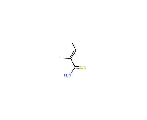 C/C=C(\C)C(N)=S